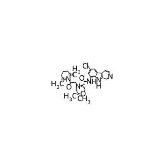 C[C@@H]1CCC[C@H](C)N1C(=O)CN1CC(C)(C)OC[C@H]1C(=O)Nc1cc(Cl)cc2c1[nH]c1cnccc12